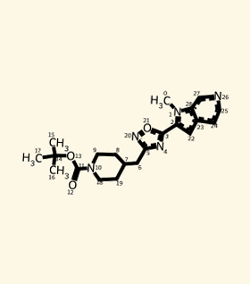 Cn1c(-c2nc(CC3CCN(C(=O)OC(C)(C)C)CC3)no2)cc2ccncc21